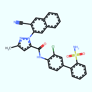 Cc1cc(C(=O)Nc2ccc(-c3ccccc3S(N)(=O)=O)cc2Cl)n(-c2cc3ccccc3cc2C#N)n1